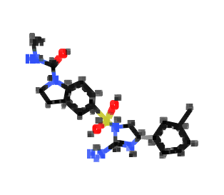 CCCNC(=O)N1CCc2cc(S(=O)(=O)N3C[C@H](c4cccc(C)c4)N=C3N)ccc21